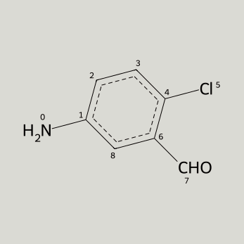 Nc1ccc(Cl)c(C=O)c1